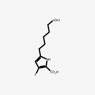 CCCCCCCCCCCCCc1cc(F)c(C(=O)O)[nH]1